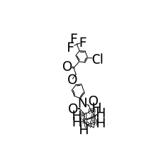 O=C(COc1ccc(N2C(=O)[C@@H]3[C@@H]4C=C[C@@H]([C@H]5C[C@@H]45)[C@@H]3C2=O)cc1)c1cc(Cl)cc(C(F)(F)F)c1